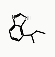 CCC(C)c1cccc2nc[nH]c12